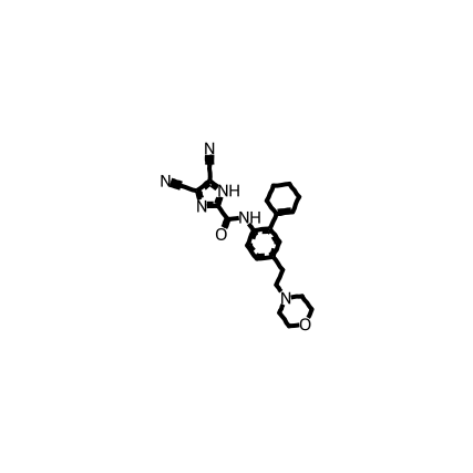 N#Cc1nc(C(=O)Nc2ccc(CCN3CCOCC3)cc2C2=CCCCC2)[nH]c1C#N